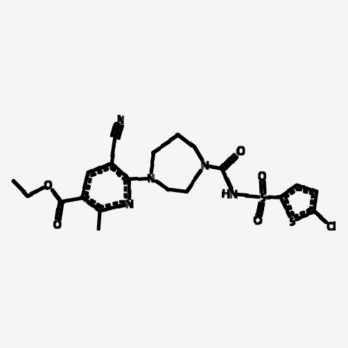 CCOC(=O)c1cc(C#N)c(N2CCCN(C(=O)NS(=O)(=O)c3ccc(Cl)s3)CC2)nc1C